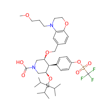 COCCCN1CCOc2ccc(CO[C@@H]3CN(C(=O)O)C[C@H](O[Si](C(C)C)(C(C)C)C(C)C)[C@@H]3c3ccc(OS(=O)(=O)C(F)(F)F)cc3)cc21